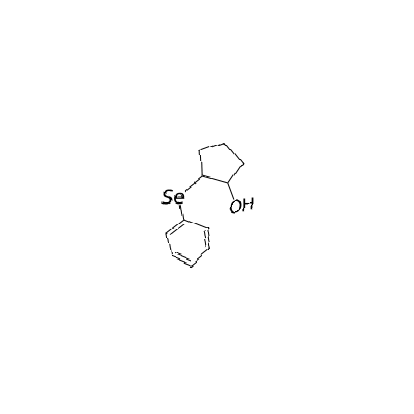 OC1CCCC1[Se]c1ccccc1